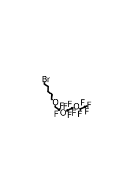 FC(OC(F)(F)C(F)(F)OC(F)(F)COCCCCCBr)C(F)(F)F